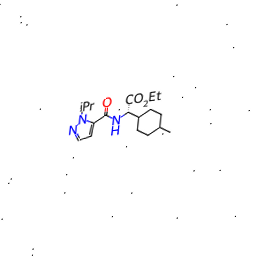 CCOC(=O)[C@@H](NC(=O)c1ccnn1C(C)C)C1CCC(C)CC1